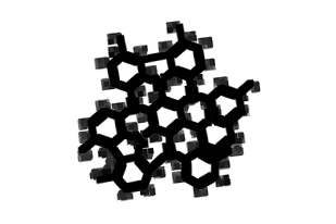 Cc1cccc(B2c3c(-c4ccccn4)c4c5c6c3-n3c7c2ccc(C)c7c2c(C)ccc(c23)B6c2ccc(C)c3c6c(C)ccc(c6n-5c23)B4c2cccc(C)c2)c1